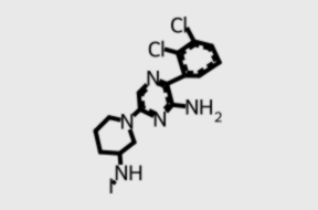 Nc1nc(N2CCCC(NI)C2)cnc1-c1cccc(Cl)c1Cl